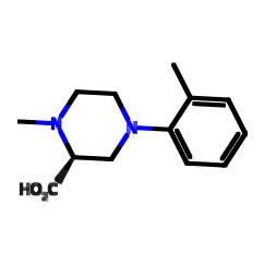 Cc1ccccc1N1CCN(C)[C@H](C(=O)O)C1